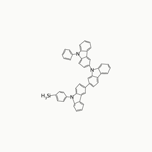 [SiH3]c1ccc(-n2c3ccccc3c3cc(-c4ccc5c6ccccc6n(-c6ccc7c(c6)c6ccccc6n7-c6ccccc6)c5c4)ccc32)cc1